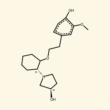 COc1cc(CCOC2CCCC[C@H]2N2CC[C@@H](O)C2)ccc1O